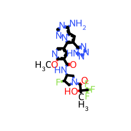 COc1ncc(-c2c(-c3nnn[nH]3)cc3c(N)ncnn23)cc1C(=O)NC1CN(C(=O)C(C)(O)C(F)(F)F)CC1F